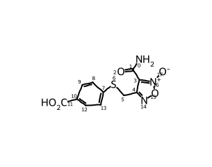 NC(=O)c1c(CSc2ccc(C(=O)O)cc2)no[n+]1[O-]